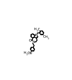 COc1ccc(CCN2CCc3cn(Cc4cc(C)ccc4C)c4cccc(c34)C2=O)cc1